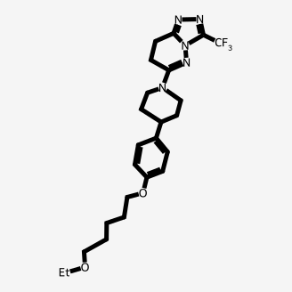 CCOCCCCCOc1ccc(C2CCN(C3=Nn4c(nnc4C(F)(F)F)CC3)CC2)cc1